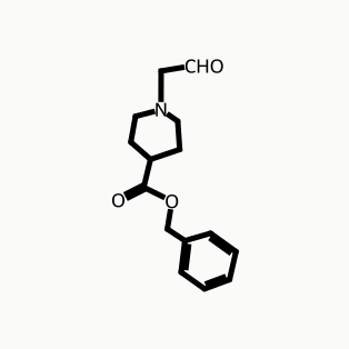 O=CCN1CCC(C(=O)OCc2ccccc2)CC1